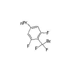 CCCc1cc(F)c(C(F)(F)Br)c(F)c1